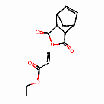 C=CC(=O)OCC.O=C1OC(=O)C2C3C=CC(C3)C12